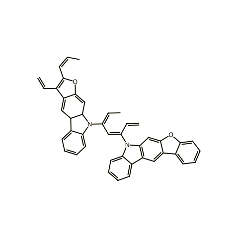 C=C/C(=C\C(=C/C)N1c2ccccc2C2C=c3c(C=C)c(/C=C\C)oc3=CC21)n1c2ccccc2c2cc3c(cc21)oc1ccccc13